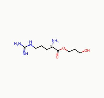 N=C(N)NCCC[C@H](N)C(=O)OCCCO